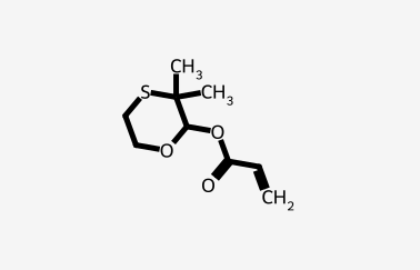 C=CC(=O)OC1OCCSC1(C)C